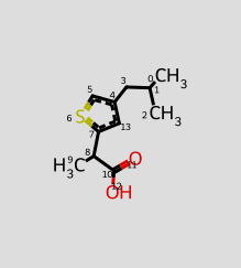 CC(C)Cc1csc(C(C)C(=O)O)c1